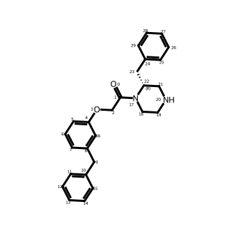 O=C(COc1cccc(Cc2ccccc2)c1)N1CCNC[C@H]1Cc1ccccc1